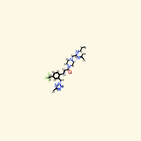 CCC/N=C(/CN1CCN(C(=O)/C=C/c2ccc(C(F)(F)F)cc2Cn2nnc(C)n2)CC1)N=C(C)C